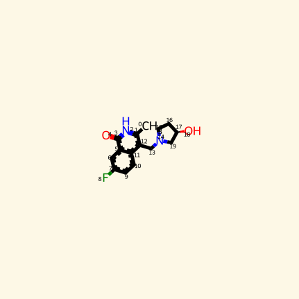 Cc1[nH]c(=O)c2cc(F)ccc2c1CN1CC[C@@H](O)C1